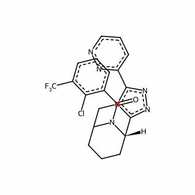 O=C(c1cccc(C(F)(F)F)c1Cl)N1C2CCC[C@H]1c1nnc(-c3cccnn3)n1C2